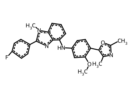 COc1cc(Nc2cccc3c2nc(-c2ccc(F)cc2)n3C)ccc1-c1oc(C)nc1C